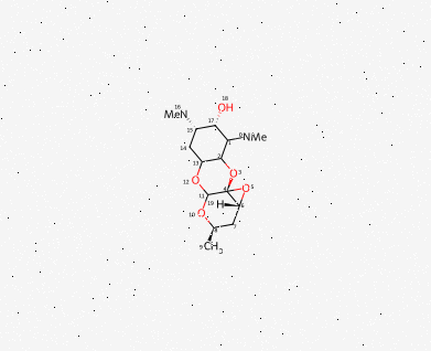 CNC1C2O[C@@]34O[C@@H]3C[C@@H](C)OC4OC2C[C@H](NC)[C@@H]1O